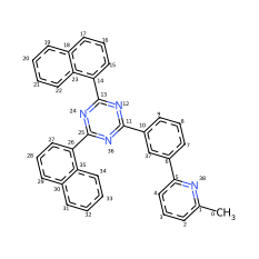 Cc1cccc(-c2cccc(-c3nc(-c4cccc5ccccc45)nc(-c4cccc5ccccc45)n3)c2)n1